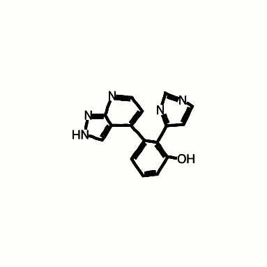 Oc1cccc(-c2ccnc3n[nH]cc23)c1-c1ccncn1